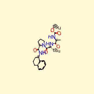 C[C@H](NC(=O)OC(C)(C)C)C(=O)N[C@@H](C(=O)N1CCC[C@@H]1C(=O)N[C@@H]1CCCc2ccccc21)C(C)(C)C